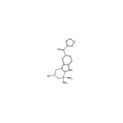 CCC1Cc2c([nH]c3ccc(C(=O)c4ccoc4)cc23)C(N)(N)C1